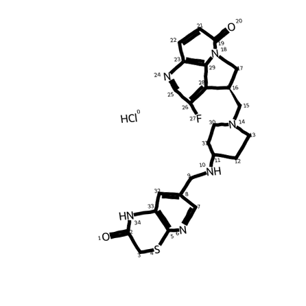 Cl.O=C1CSc2ncc(CNC3CCN(C[C@@H]4Cn5c(=O)ccc6ncc(F)c4c65)CC3)cc2N1